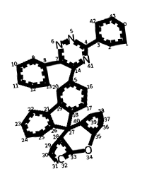 c1ccc(-c2nnc(-c3ccccc3)c(-c3ccc4c(c3)-c3ccccc3C43c4ccccc4Oc4ccccc43)n2)cc1